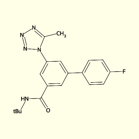 Cc1nnnn1-c1cc(C(=O)NC(C)(C)C)cc(-c2ccc(F)cc2)c1